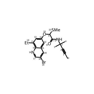 CC#CC(C)(C)NC(=O)C(Oc1cc(CC)c2ncc(Br)cc2c1)SC